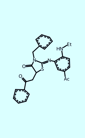 CCNc1ccc(C(C)=O)cc1N=C1SC(CC(=O)c2ccccc2)C(=O)N1Cc1ccccc1